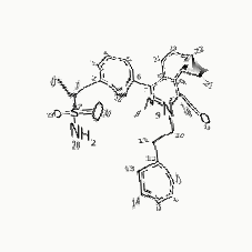 CC(c1cccc(-c2nn(CCc3ccccc3)c(=O)c3ccccc23)c1)S(N)(=O)=O